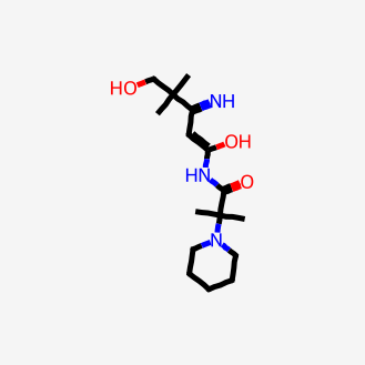 CC(C)(CO)C(=N)/C=C(\O)NC(=O)C(C)(C)N1CCCCC1